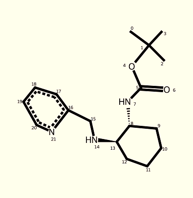 CC(C)(C)OC(=O)N[C@@H]1CCCC[C@H]1NCc1ccccn1